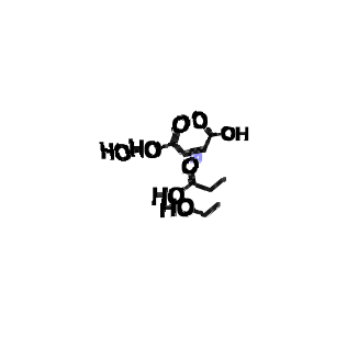 CCC(=O)O.CCO.CO.O=C(O)/C=C\C(=O)O